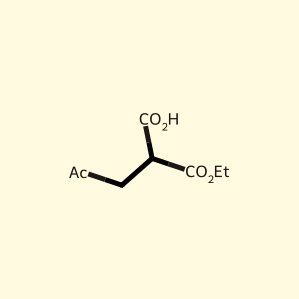 CCOC(=O)C(CC(C)=O)C(=O)O